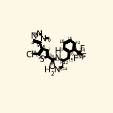 Cn1nncc1-c1cc(C(=O)N[C@H](CN)Cc2ccccc2C(F)(F)F)sc1Cl